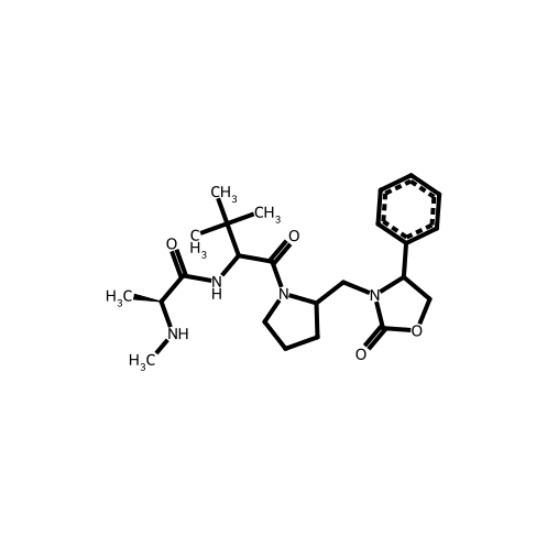 CN[C@@H](C)C(=O)NC(C(=O)N1CCCC1CN1C(=O)OCC1c1ccccc1)C(C)(C)C